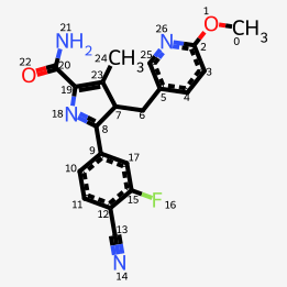 COc1ccc(CC2C(c3ccc(C#N)c(F)c3)=NC(C(N)=O)=C2C)cn1